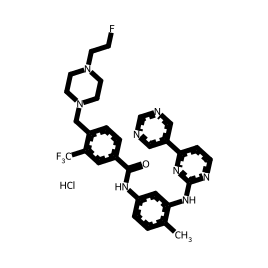 Cc1ccc(NC(=O)c2ccc(CN3CCN(CCF)CC3)c(C(F)(F)F)c2)cc1Nc1nccc(-c2cncnc2)n1.Cl